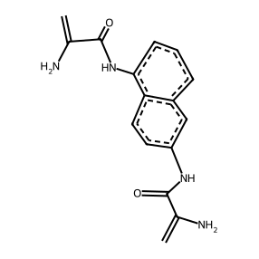 C=C(N)C(=O)Nc1ccc2c(NC(=O)C(=C)N)cccc2c1